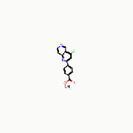 COC(=O)c1ccc(-c2cc(Cl)c3cnccc3n2)cc1